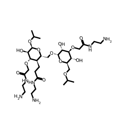 CC(C)OC[C@H]1O[C@H](OC[C@H]2O[C@H](OC(C)C)[C@H](O)[C@@H](OCC(=O)NCCN)[C@@H]2CCC(=O)NCCN)[C@H](O)[C@@H](OCC(=O)NCCN)[C@@H]1O